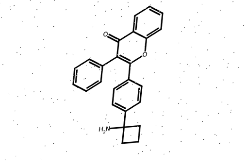 NC1(c2ccc(-c3oc4ccccc4c(=O)c3-c3ccccc3)cc2)CCC1